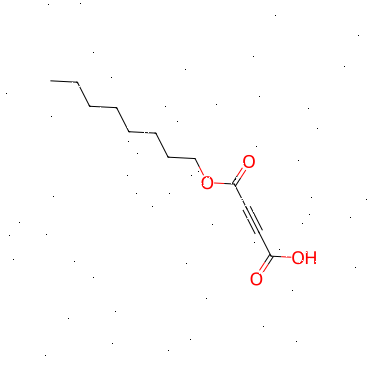 CCCCCCCCOC(=O)C#CC(=O)O